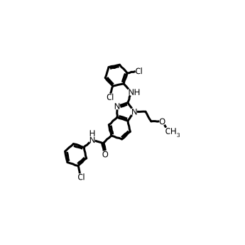 COCCn1c(Nc2c(Cl)cccc2Cl)nc2cc(C(=O)Nc3cccc(Cl)c3)ccc21